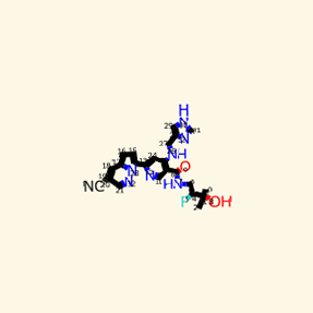 CC(C)(O)C(F)CNC(=O)c1cnc(-c2ccc3cc(C#N)cnn23)cc1NCc1c[nH]cn1